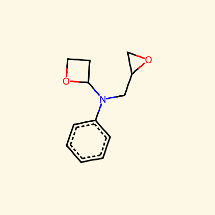 c1ccc(N(CC2CO2)C2CCO2)cc1